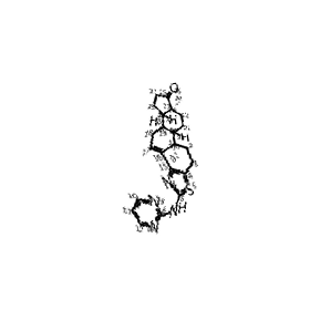 C[C@]12CCc3sc(Nc4ncccn4)nc3C1=CC[C@@H]1[C@@H]2CC[C@]2(C)C(=O)CC[C@@H]12